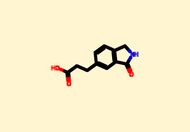 O=C(O)CCc1ccc2c(c1)C(=O)NC2